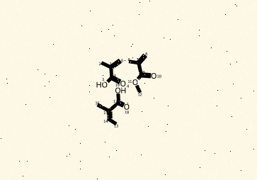 C=C(C)C(=O)O.C=C(C)C(=O)OC.CC=C(C)C(=O)O